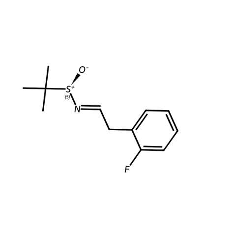 CC(C)(C)[S@@+]([O-])N=CCc1ccccc1F